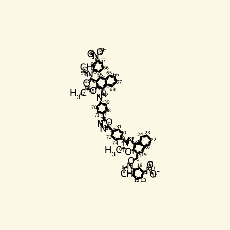 CCOc1c(CON(CC)c2cccc([N+](=O)[O-])c2)cc2ccccc2c1N=Nc1ccc(-c2nnc(-c3ccc(N=Nc4c(OCC)c(C(=O)N(CC)c5cccc([N+](=O)[O-])c5)cc5ccccc45)cc3)o2)cc1